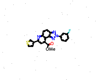 COC(=O)c1cc(-c2ccsc2)nc2ccc3nn(-c4cccc(F)c4)nc3c12